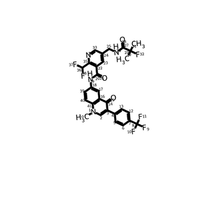 Cn1cc(-c2ccc(C(F)(F)F)cc2)c(=O)c2cc(NC(=O)c3cc(CNC(=O)C(C)(C)F)cnc3C(F)F)ccc21